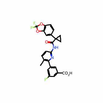 Cc1ccc(NC(=O)C2(c3ccc4c(c3)OC(F)(F)O4)CC2)nc1-c1cc(F)cc(C(=O)O)c1